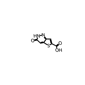 O=C(O)c1cc2n[nH]c(=O)cc2s1